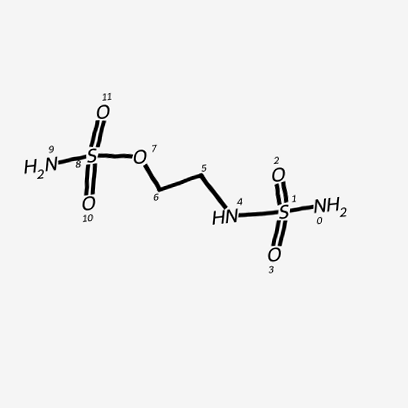 NS(=O)(=O)NCCOS(N)(=O)=O